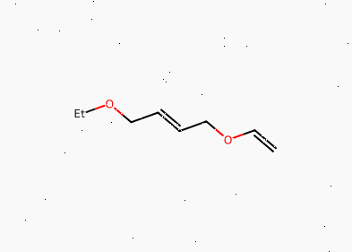 C=COCC=CCOCC